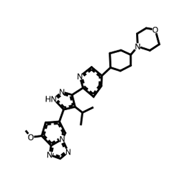 COc1cc(-c2[nH]nc(-c3ccc(C4CCC(N5CCOCC5)CC4)cn3)c2C(C)C)cn2ncnc12